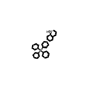 c1ccc([B-](c2ccccc2)(c2ccccc2)c2ccccc2)cc1.c1ccc2[nH+]cccc2c1